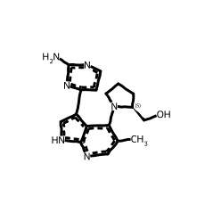 Cc1cnc2[nH]cc(-c3ccnc(N)n3)c2c1N1CCC[C@H]1CO